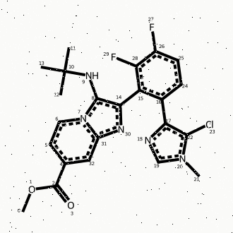 COC(=O)c1ccn2c(NC(C)(C)C)c(-c3c(-c4ncn(C)c4Cl)ccc(F)c3F)nc2c1